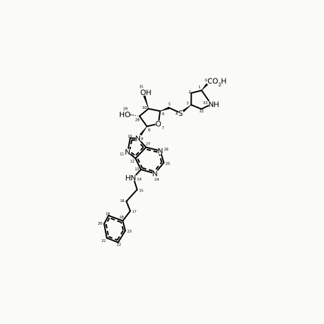 O=C(O)[C@@H]1C[C@H](SC[C@H]2O[C@@H](n3cnc4c(NCCCc5ccccc5)ncnc43)[C@H](O)[C@H]2O)CN1